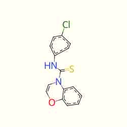 S=C(Nc1ccc(Cl)cc1)N1C=COc2ccccc21